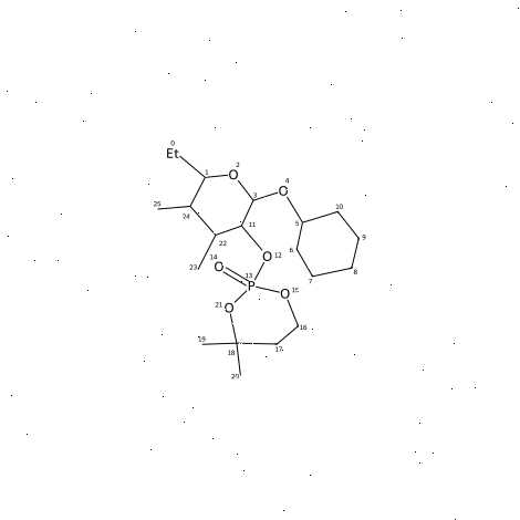 CCC1OC(OC2CCCCC2)C(OP2(=O)OCCC(C)(C)O2)C(C)C1C